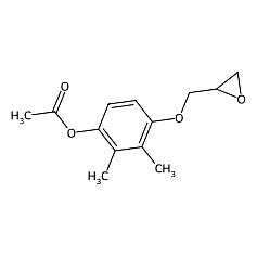 CC(=O)Oc1ccc(OCC2CO2)c(C)c1C